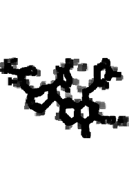 CCNC(=O)Nc1cc(-c2nc(C(F)(F)F)cs2)c(-c2ccc3c(=O)c(C(=O)OCC)cn(Cc4noc(C)n4)c3c2)cn1